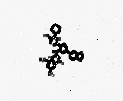 Cc1cc(C)c(NC(=O)Nc2cc(-c3ccc4c(c3)OCO4)ccc2C(=O)N[C@H](C(=O)O)C2CCCCC2)c(C)c1